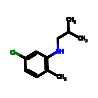 Cc1ccc(Cl)cc1NCC(C)C